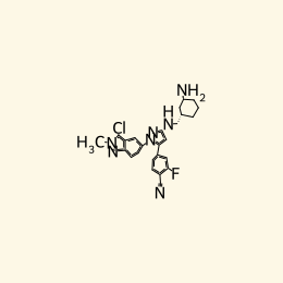 Cn1nc2ccc(-n3nc(NC[C@H]4CCC[C@H](N)C4)cc3-c3ccc(C#N)c(F)c3)cc2c1Cl